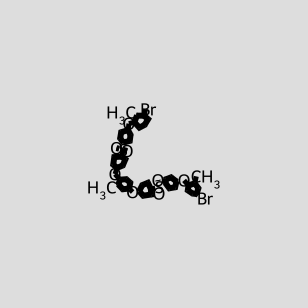 Cc1cc(Br)ccc1Oc1ccc(S(=O)(=O)c2ccc(Oc3ccc(Oc4ccc(S(=O)(=O)c5ccc(Oc6cccc(Br)c6C)cc5)cc4)c(C)c3)cc2)cc1